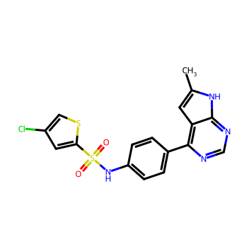 Cc1cc2c(-c3ccc(NS(=O)(=O)c4cc(Cl)cs4)cc3)ncnc2[nH]1